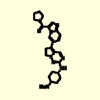 CN[C@H]1CC[C@H](Nc2ncc3c(-c4ccc5ncc(C(=O)N6CCCC6)n5c4)ccn3n2)CC1